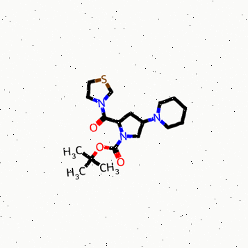 CC(C)(C)OC(=O)N1CC(N2CCCCC2)CC1C(=O)N1CCSC1